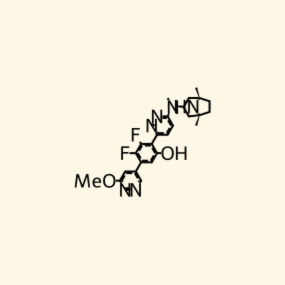 COc1cc(-c2cc(O)c(-c3ccc(N(C)[C@@H]4C[C@]5(C)CC[C@](C)(C4)N5)nn3)c(F)c2F)cnn1